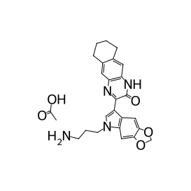 CC(=O)O.NCCCn1cc(-c2nc3cc4c(cc3[nH]c2=O)CCCC4)c2cc3c(cc21)OCO3